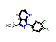 O=C(O)c1nn(-c2ccc(F)c(Br)c2)c2ncccc12